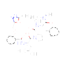 Cc1nnc(COc2ccccc2C(=O)N[C@H](CC(C)C)C(=O)N2CCC[C@@H]2C(=O)N(C)[C@@H](Cc2ccccc2)C(=O)N(C)C)o1